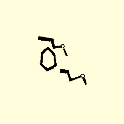 C1CCCCC1.C=CCOC.C=CCOC